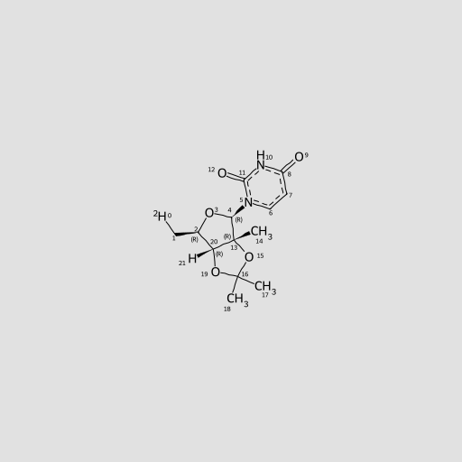 [2H]C[C@H]1O[C@@H](n2ccc(=O)[nH]c2=O)[C@]2(C)OC(C)(C)O[C@H]12